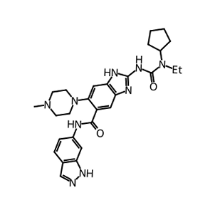 CCN(C(=O)Nc1nc2cc(C(=O)Nc3ccc4cn[nH]c4c3)c(N3CCN(C)CC3)cc2[nH]1)C1CCCC1